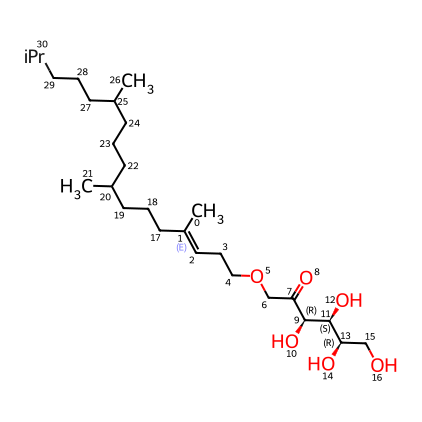 C/C(=C\CCOCC(=O)[C@H](O)[C@@H](O)[C@H](O)CO)CCCC(C)CCCC(C)CCCC(C)C